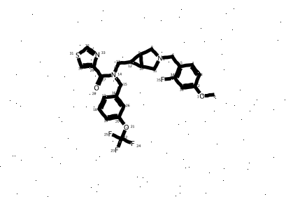 COc1ccc(CN2CC3C(C2)C3CN(Cc2cccc(OC(F)(F)F)c2)C(=O)c2cscn2)c(F)c1